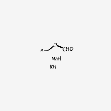 CC(=O)OC=O.[KH].[NaH]